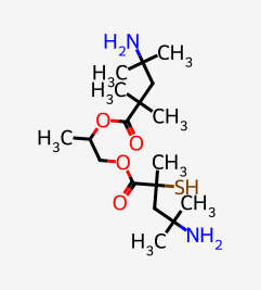 CC(COC(=O)C(C)(S)CC(C)(C)N)OC(=O)C(C)(C)CC(C)(C)N